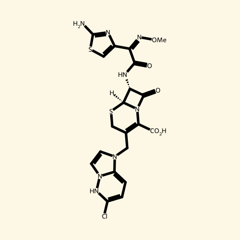 CO/N=C(\C(=O)N[C@@H]1C(=O)N2C(C(=O)O)=C(CN3C=CN4NC(Cl)=CC=C34)CS[C@@H]12)c1csc(N)n1